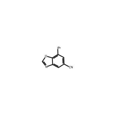 CC(C)c1cc(C#N)cc2ncoc12